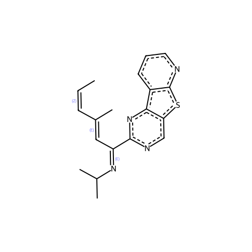 C\C=C/C(C)=C/C(=N\C(C)C)c1ncc2sc3ncccc3c2n1